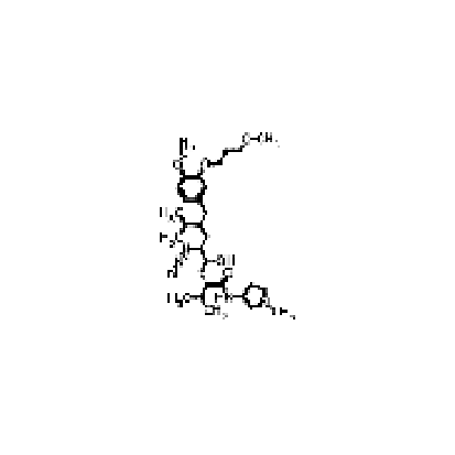 COCCCOc1cc(C[C@@H](C[C@H](N=[N+]=[N-])[C@@H](O)C[C@H](C(=O)NC2CCN(C)C2)C(C)C)C(C)C)ccc1OC